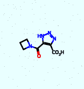 O=C(O)c1nn[nH]c1C(=O)N1CCC1